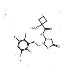 O=C1CC(NC(=O)C2(C(=O)O)CCC2)[C@@H](COc2c(F)c(F)cc(F)c2F)O1